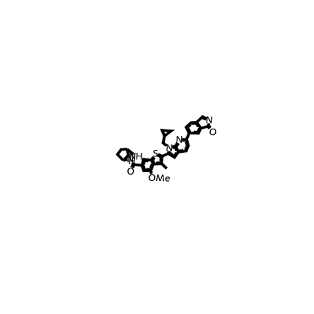 COc1cc(C(=O)N2CC3CCC2[C@@H]3N)cc2sc(-c3cc4ccc(-c5ccc6c(c5)C(=O)N=C6)nc4n3CC3CC3)c(C)c12